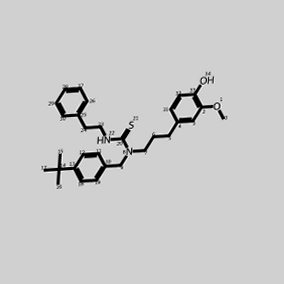 COc1cc(CCCN(Cc2ccc(C(C)(C)C)cc2)C(=S)NCCc2ccccc2)ccc1O